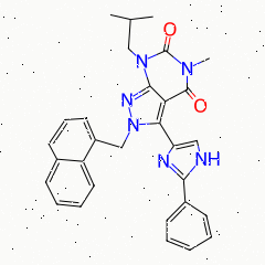 CC(C)Cn1c(=O)n(C)c(=O)c2c(-c3c[nH]c(-c4ccccc4)n3)n(Cc3cccc4ccccc34)nc21